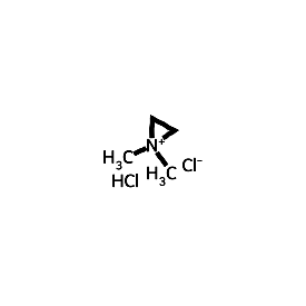 C[N+]1(C)CC1.Cl.[Cl-]